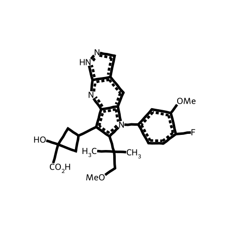 COCC(C)(C)c1c(C2CC(O)(C(=O)O)C2)c2nc3[nH]ncc3cc2n1-c1ccc(F)c(OC)c1